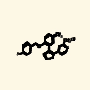 CCOC(=O)c1cc(C2=C(c3cc(C(F)(F)F)ccc3OCc3ccc(F)cc3)CCC2)ccn1